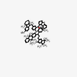 Cc1cc(C)c2c(c1)C(CCc1cc3c(cc1C)C(C)(C)CC3(C)C)c1cc3c(cc1B2c1ccc(CC2c4ccc(C(C)(C)C)cc4C4(C)CCCCC24C)cc1C(C)c1cccc2sc4ccccc4c12)C(C)(C)c1ccccc1C3(C)C